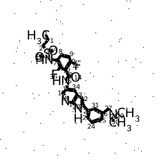 CCCS(=O)(=O)Nc1ccc(F)c(C(=O)Nc2cnc3[nH]c(-c4cccc(CN(C)C)c4)cc3c2)c1F